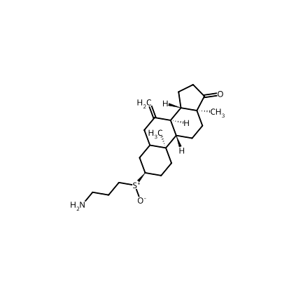 C=C1CC2C[C@H]([S+]([O-])CCCN)CC[C@]2(C)[C@H]2CC[C@]3(C)C(=O)CC[C@H]3[C@H]12